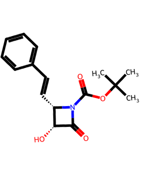 CC(C)(C)OC(=O)N1C(=O)[C@H](O)[C@@H]1/C=C/c1ccccc1